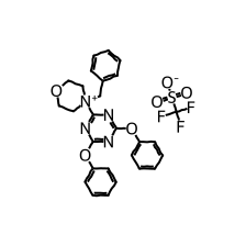 O=S(=O)([O-])C(F)(F)F.c1ccc(C[N+]2(c3nc(Oc4ccccc4)nc(Oc4ccccc4)n3)CCOCC2)cc1